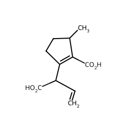 C=CC(C(=O)O)C1=C(C(=O)O)C(C)CC1